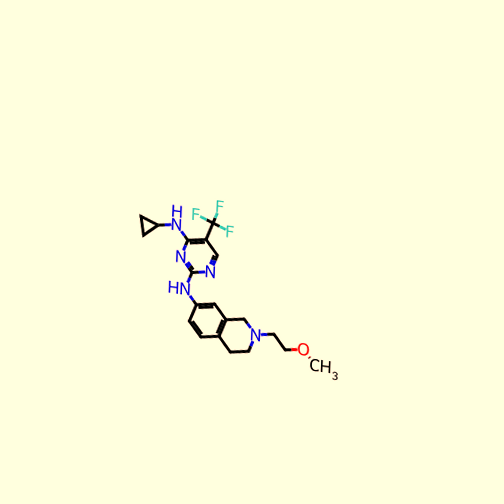 COCCN1CCc2ccc(Nc3ncc(C(F)(F)F)c(NC4CC4)n3)cc2C1